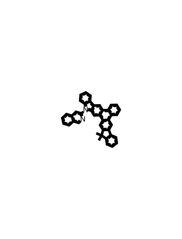 CC1(C)c2ccccc2-c2cc3c4ccccc4c4cc5c6ccccc6n(-c6cc7ccccc7cn6)c5cc4c3cc21